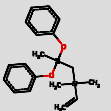 C=C[Si](C)(C)C[Si](C)(Oc1ccccc1)Oc1ccccc1